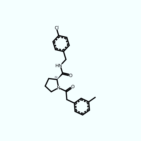 Cc1cccc(CC(=O)N2CCC[C@H]2C(=O)NCc2ccc(Cl)cc2)c1